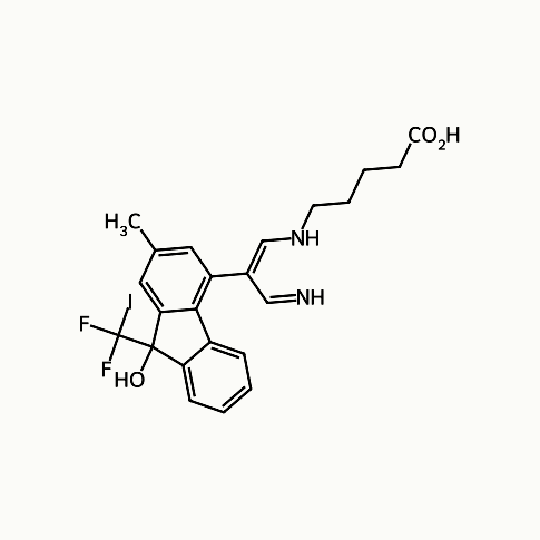 Cc1cc(/C(C=N)=C/NCCCCC(=O)O)c2c(c1)C(O)(C(F)(F)I)c1ccccc1-2